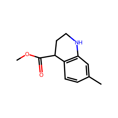 COC(=O)C1CCNc2cc(C)ccc21